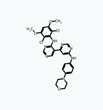 COc1cc(OC)c(Cl)c(Nc2ncncc2-c2cc(Nc3ccc(N4CCOCC4)cc3)ncn2)c1Cl